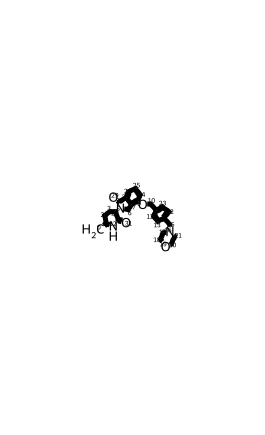 C=C1CC[C@H](N2Cc3c(OCc4ccc(CN5CCOCC5)cc4)cccc3C2=O)C(=O)N1